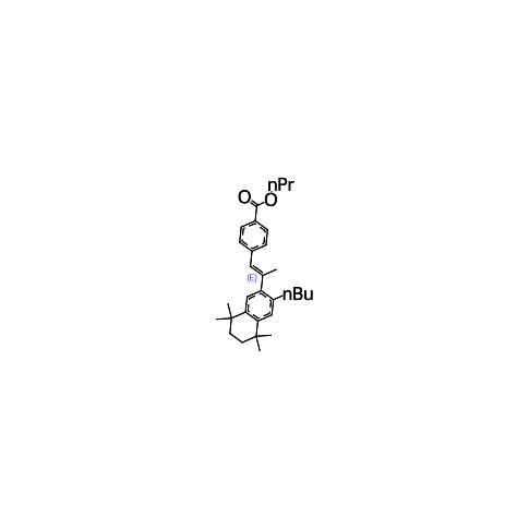 CCCCc1cc2c(cc1/C(C)=C/c1ccc(C(=O)OCCC)cc1)C(C)(C)CCC2(C)C